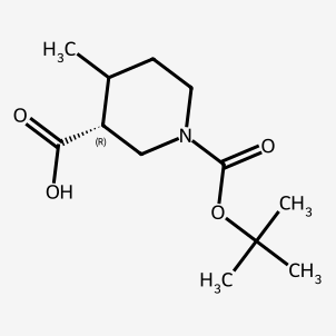 CC1CCN(C(=O)OC(C)(C)C)C[C@@H]1C(=O)O